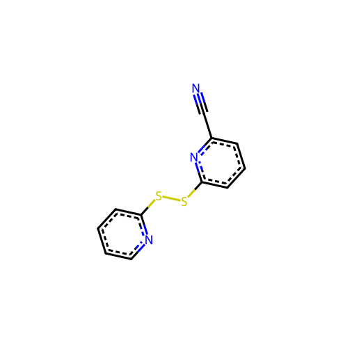 N#Cc1cccc(SSc2ccccn2)n1